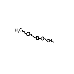 CCCCCC1CCC(C=CCCc2ccc(C3CCC(CCC)CC3)cc2)CC1